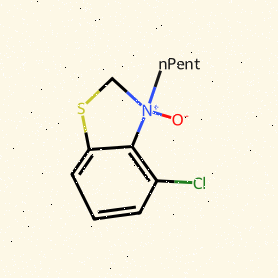 CCCCC[N+]1([O-])CSc2cccc(Cl)c21